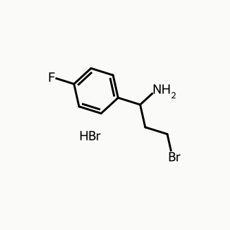 Br.NC(CCBr)c1ccc(F)cc1